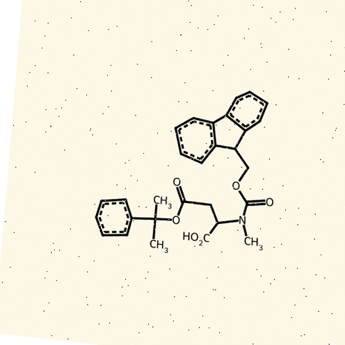 CN(C(=O)OCC1c2ccccc2-c2ccccc21)C(CC(=O)OC(C)(C)c1ccccc1)C(=O)O